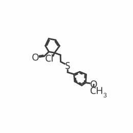 COc1ccc(CSCCC2(Cl)C=CC=CC2C=O)cc1